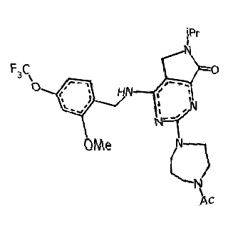 COc1cc(OC(F)(F)F)ccc1CNc1nc(N2CCN(C(C)=O)CC2)nc2c1CN(C(C)C)C2=O